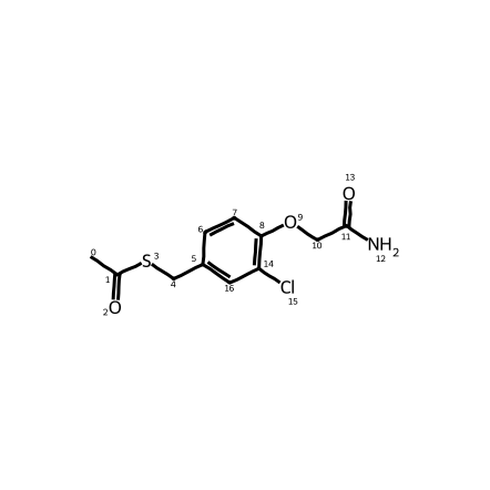 CC(=O)SCc1ccc(OCC(N)=O)c(Cl)c1